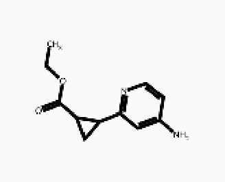 CCOC(=O)C1CC1c1cc(N)ccn1